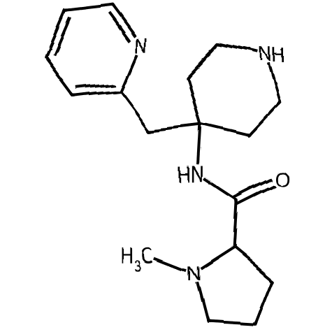 CN1CCCC1C(=O)NC1(Cc2ccccn2)CCNCC1